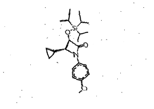 COc1ccc(N2C(=O)[C@H](O[Si](C(C)C)(C(C)C)C(C)C)[C@@H]2C2CC2)cc1